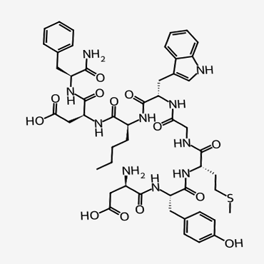 CCCC[C@H](NC(=O)[C@H](Cc1c[nH]c2ccccc12)NC(=O)CNC(=O)[C@H](CCSC)NC(=O)[C@H](Cc1ccc(O)cc1)NC(=O)[C@H](N)CC(=O)O)C(=O)N[C@@H](CC(=O)O)C(=O)N[C@@H](Cc1ccccc1)C(N)=O